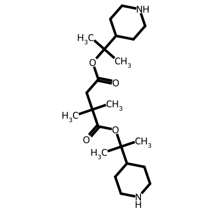 CC(C)(CC(=O)OC(C)(C)C1CCNCC1)C(=O)OC(C)(C)C1CCNCC1